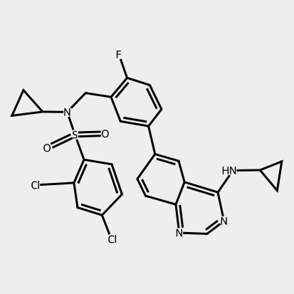 O=S(=O)(c1ccc(Cl)cc1Cl)N(Cc1cc(-c2ccc3ncnc(NC4CC4)c3c2)ccc1F)C1CC1